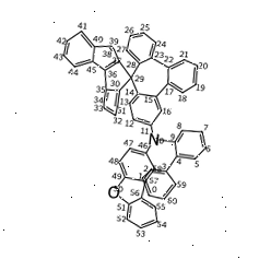 c1ccc(-c2ccccc2N(c2ccc3c(c2)-c2ccccc2-c2ccccc2C32c3ccccc3-c3c2ccc2ccccc32)c2ccc3oc4ccccc4c3c2)cc1